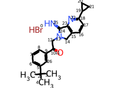 Br.CC(C)(C)c1cccc(C(=O)CN2Cc3ccc(C4CC4)nc3C2=N)c1